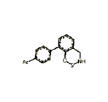 CC(=O)c1ccc(-c2cccc3c2OSNC3)cc1